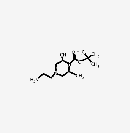 CC1CN(CCN)CC(C)N1C(=O)OC(C)(C)C